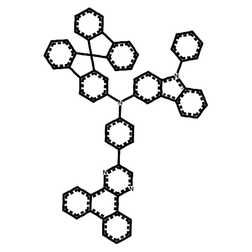 c1ccc(-n2c3ccccc3c3cc(N(c4ccc(-c5cnc6c7ccccc7c7ccccc7c6n5)cc4)c4ccc5c(c4)C4(c6ccccc6-c6ccccc64)c4ccccc4-5)ccc32)cc1